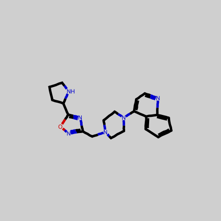 c1ccc2c(N3CCN(Cc4noc(C5CCCN5)n4)CC3)ccnc2c1